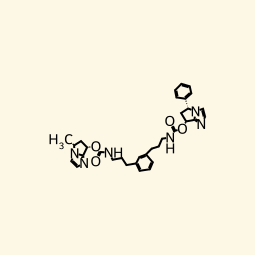 C[C@H]1C[C@H](OC(=O)NCCCc2cccc(CCCNC(=O)O[C@H]3C[C@H](c4ccccc4)n4ccnc43)c2)c2nccn21